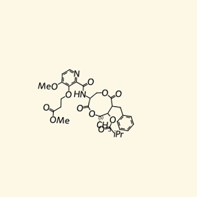 COC(=O)CCOc1c(OC)ccnc1C(=O)NC1COC(=O)C(Cc2ccccc2)C(OC(=O)C(C)C)[C@H](C)OC1=O